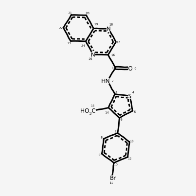 O=C(Nc1scc(-c2ccc(Br)cc2)c1C(=O)O)c1cnc2ccccc2n1